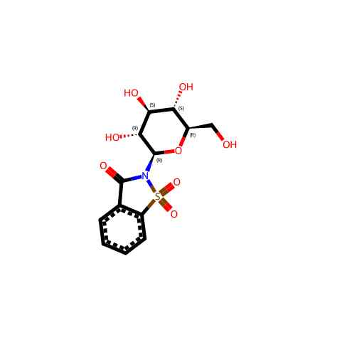 O=C1c2ccccc2S(=O)(=O)N1[C@@H]1O[C@H](CO)[C@@H](O)[C@H](O)[C@H]1O